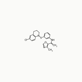 C=C(Nc1cccc(SN2CCCc3cc(Cl)ccc32)c1)c1ocnc1C